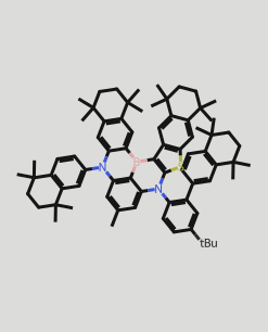 Cc1cc2c3c(c1)N(c1ccc(C(C)(C)C)cc1-c1ccc4c(c1)C(C)(C)CCC4(C)C)c1sc4cc5c(cc4c1B3c1cc3c(cc1N2c1ccc2c(c1)C(C)(C)CCC2(C)C)C(C)(C)CCC3(C)C)C(C)(C)CCC5(C)C